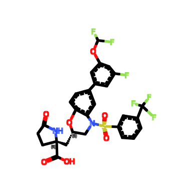 O=C1CC[C@@](C[C@H]2CN(S(=O)(=O)c3cccc(C(F)(F)F)c3)c3cc(-c4cc(F)cc(OC(F)F)c4)ccc3O2)(C(=O)O)N1